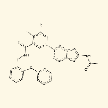 CC(=O)Nc1cn2nc(-c3cc(F)c(C)c(C(=O)NCc4ccccc4Oc4ccccc4)c3)ccc2n1